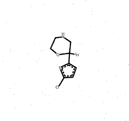 [2H]C1(c2ccc(Cl)s2)CNCCO1